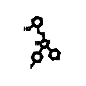 Oc1ccccc1CSc1nc(-c2ccncc2)c(-c2ccc(F)cc2)[nH]1